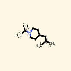 CC(C)CC1CCN(C(C)C)CC1